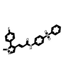 Cn1ncc(/C=C/C(=O)Nc2ccc(S(=O)(=O)c3ccccc3)cc2)c1-c1ccc(F)cc1